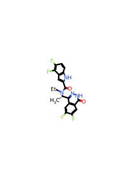 CCN(C(=O)c1cc2c(F)c(F)ccc2[nH]1)[C@@H](C)c1n[nH]c(=O)c2cc(F)c(F)cc12